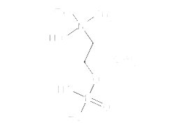 C[N+](C)(C)CCOP(=O)(O)O.[CaH2]